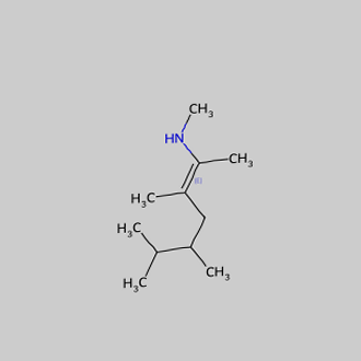 CN/C(C)=C(\C)CC(C)C(C)C